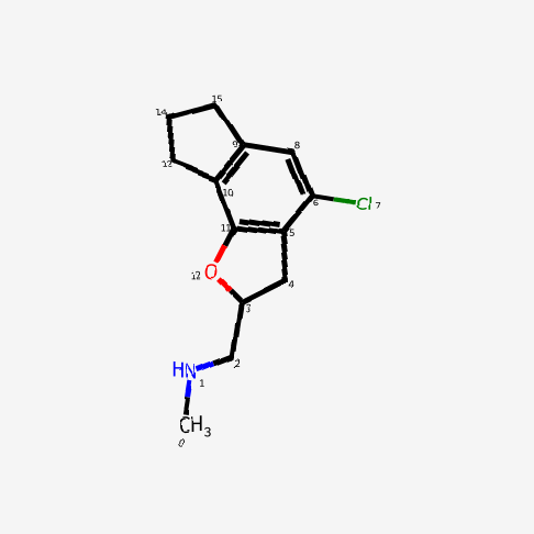 CNCC1Cc2c(Cl)cc3c(c2O1)CCC3